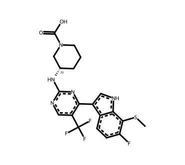 CSc1c(F)ccc2c(-c3nc(N[C@H]4CCCN(C(=O)O)C4)ncc3C(F)(F)F)c[nH]c12